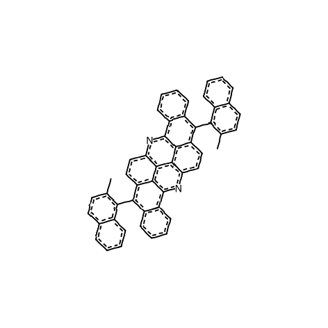 Cc1ccc2ccccc2c1-c1c2ccccc2c2nc3ccc4c(-c5c(C)ccc6ccccc56)c5ccccc5c5nc6ccc1c2c6c3c45